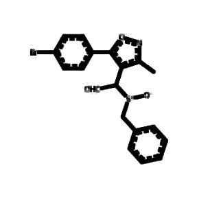 Cc1noc(-c2ccc(Br)cc2)c1C(C=O)[S+]([O-])Cc1ccccc1